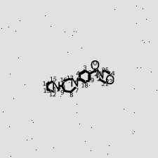 O=C(c1ccc(N2CCCC(N3CCCC3)CC2)cc1)N1CCOCC1